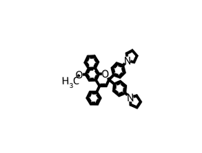 COc1cc2c(c3ccccc13)OC(c1ccc(N3CCCC3)cc1)(c1ccc(N3CCCC3)cc1)C=C2c1ccccc1